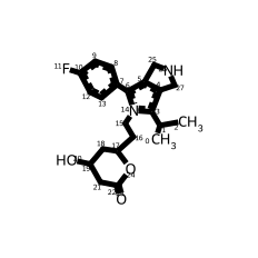 CC(C)c1c2c(c(-c3ccc(F)cc3)n1CCC1CC(O)CC(=O)O1)CNC2